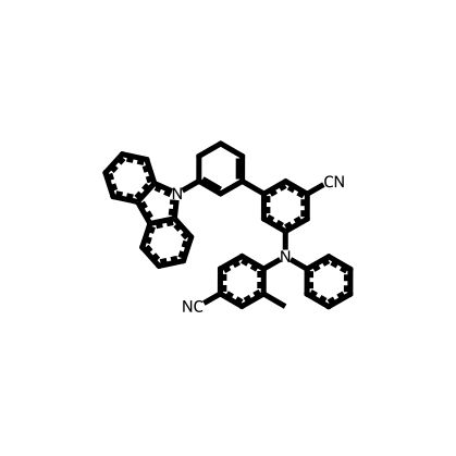 Cc1cc(C#N)ccc1N(c1ccccc1)c1cc(C#N)cc(C2=CCCC(n3c4ccccc4c4ccccc43)=C2)c1